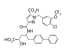 O=C(NC(Cc1ccc(-c2ccccc2)cc1)C[C@@H](O)C(=O)O)c1cc(C(=O)O)n(Cc2ccc(Cl)c(OC(F)(F)F)c2)n1